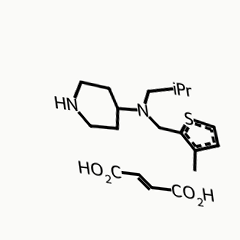 Cc1ccsc1CN(CC(C)C)C1CCNCC1.O=C(O)C=CC(=O)O